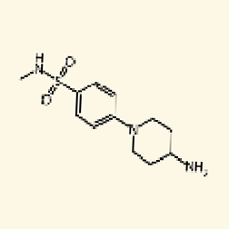 CNS(=O)(=O)c1ccc(N2CCC(N)CC2)cc1